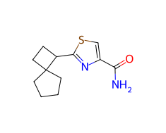 NC(=O)c1csc(C2CCC23CCCC3)n1